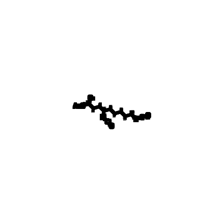 CC(=O)OC(=O)CCC(CCCCCN=C=O)N=C=O